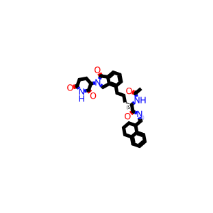 CC(=O)N[C@@H](CCCc1cccc2c1CN(C1CCC(=O)NC1=O)C2=O)C(=O)/N=C\C1CCCc2ccccc21